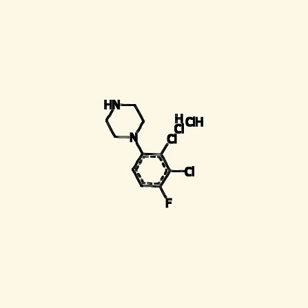 Cl.Cl.Fc1ccc(N2CCNCC2)c(Cl)c1Cl